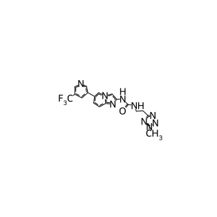 Cn1nnc(CCNC(=O)Nc2cn3cc(-c4cncc(C(F)(F)F)c4)ccc3n2)n1